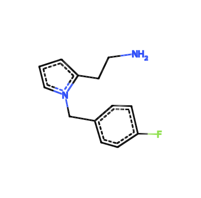 NCCc1cccn1Cc1ccc(F)cc1